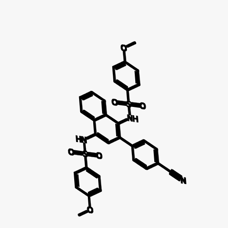 COc1ccc(S(=O)(=O)Nc2cc(-c3ccc(C#N)cc3)c(NS(=O)(=O)c3ccc(OC)cc3)c3ccccc23)cc1